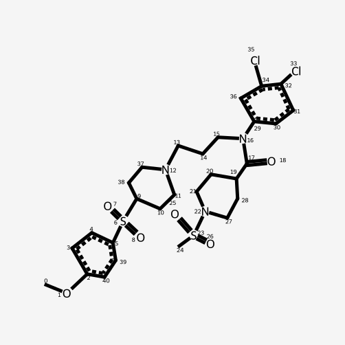 COc1ccc(S(=O)(=O)C2CCN(CCCN(C(=O)C3CCN(S(C)(=O)=O)CC3)c3ccc(Cl)c(Cl)c3)CC2)cc1